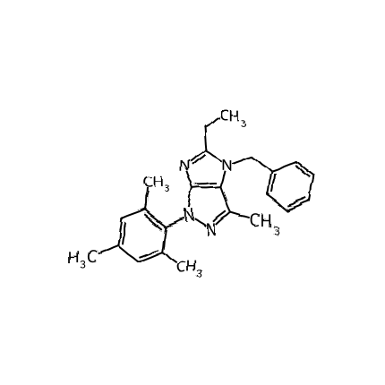 CCc1nc2c(c(C)nn2-c2c(C)cc(C)cc2C)n1Cc1ccccc1